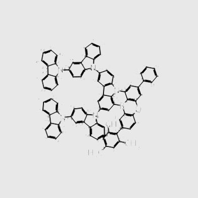 Cc1cc(C)c(-c2ccc3c(c2)B2c4c(cc(-c5ccccc5)cc4-n4c5ccc(-n6c7ccccc7c7cc(-n8c9ccccc9c9ccccc98)ccc76)cc5c5cc(-n6c7ccccc7c7cc(-n8c9ccccc9c9ccccc98)ccc76)cc2c54)O3)c(C)c1